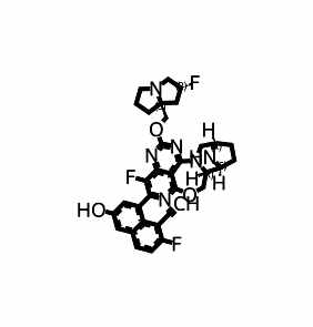 C#Cc1c(F)ccc2cc(O)cc(-c3nc4c5c(nc(OC[C@@]67CCCN6C[C@H](F)C7)nc5c3F)N3C[C@H]5CC[C@H](N5)[C@@H]3CO4)c12